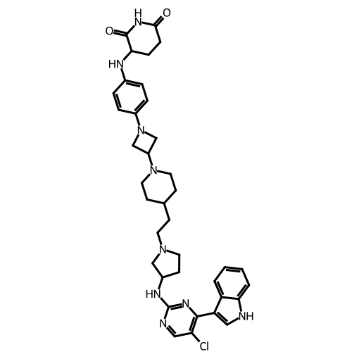 O=C1CCC(Nc2ccc(N3CC(N4CCC(CCN5CCC(Nc6ncc(Cl)c(-c7c[nH]c8ccccc78)n6)C5)CC4)C3)cc2)C(=O)N1